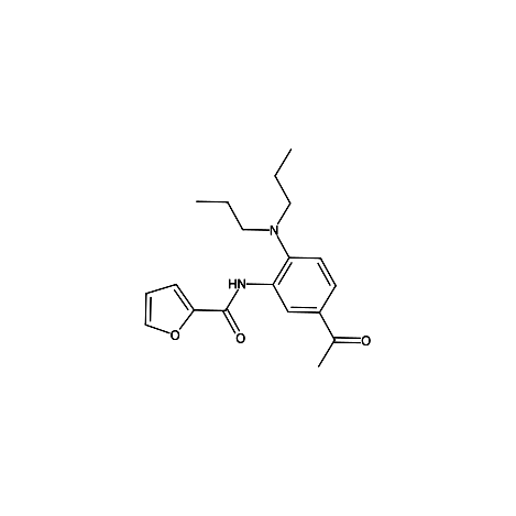 CCCN(CCC)c1ccc(C(C)=O)cc1NC(=O)c1ccco1